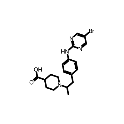 CC(Cc1ccc(Nc2ncc(Br)cn2)cc1)N1CCC(C(=O)O)CC1